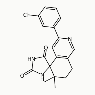 CC1(C)CCc2cnc(-c3cccc(Cl)c3)cc2C12NC(=O)NC2=O